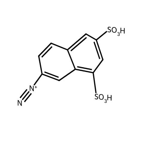 N#[N+]c1ccc2cc(S(=O)(=O)O)cc(S(=O)(=O)O)c2c1